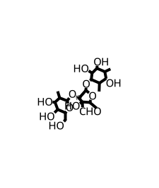 CC1C(O[C@@H]2C(OC3C(C)C(O)C(C)C(O)C3O)OC(C)C2(O)C=O)OC(CO)C(O)C1O